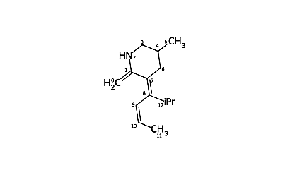 C=C1NCC(C)C/C1=C(/C=C\C)C(C)C